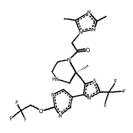 Cc1nc(C)n(CC(=O)N2CCNC[C@]2(C)c2sc(C(F)(F)F)nc2-c2cnc(OCC(F)(F)F)nc2)n1